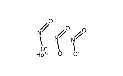 O=N[O-].O=N[O-].O=N[O-].[Ho+3]